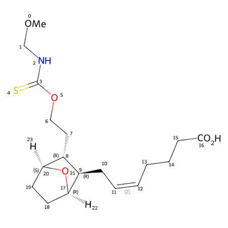 COCNC(=S)OCC[C@@H]1[C@@H](C/C=C\CCCC(=O)O)[C@H]2CC[C@@H]1O2